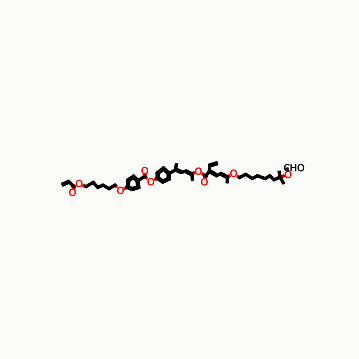 C=CC(=O)OCCCCCCOc1ccc(C(=O)Oc2ccc(/C(C)=C/C=C(\C)OC(=O)/C(C=C)=C/C=C(\C)OCCCCCCCC(C)(C)OC=O)cc2)cc1